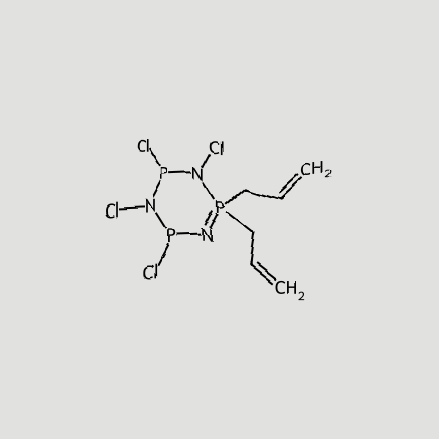 C=CCP1(CC=C)=NP(Cl)N(Cl)P(Cl)N1Cl